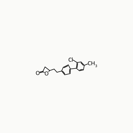 Cc1ccc(-c2ccc(CCC3CC(=O)O3)cc2)c(Cl)c1